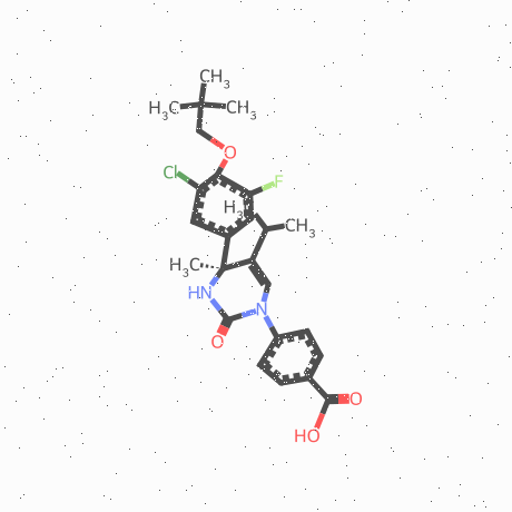 CC(C)C1=CN(c2ccc(C(=O)O)cc2)C(=O)N[C@@]1(C)c1cc(F)c(OCC(C)(C)C)c(Cl)c1